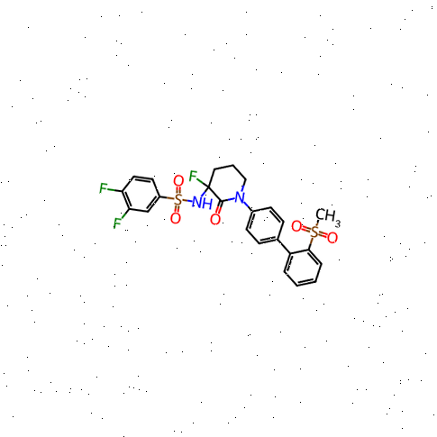 CS(=O)(=O)c1ccccc1-c1ccc(N2CCCC(F)(NS(=O)(=O)c3ccc(F)c(F)c3)C2=O)cc1